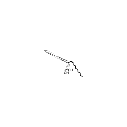 C=C=C=C=C=C=C=C=C=C=C=C(/C=C\CCCCCCCC)OCC(O)CO